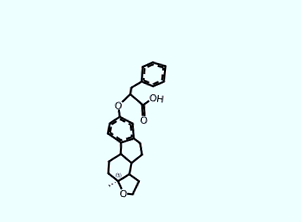 C[C@]12CCC3c4ccc(OC(Cc5ccccc5)C(=O)O)cc4CCC3C1CCO2